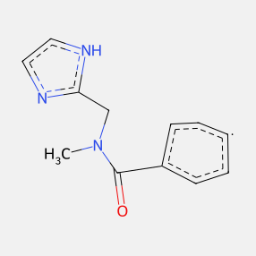 CN(Cc1ncc[nH]1)C(=O)c1cc[c]cc1